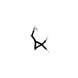 BCC1CC1(F)F